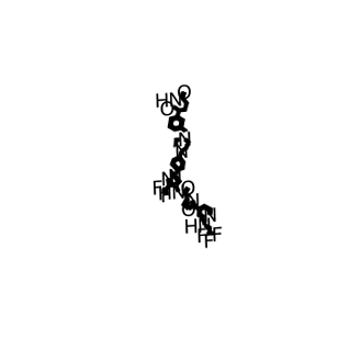 O=C1CCC(c2cccc(CN3CCN(c4ccc(-n5cc(NC(=O)c6coc(-c7ccnc(NCC(F)(F)F)c7)n6)c(C(F)F)n5)cc4)CC3)c2)C(=O)N1